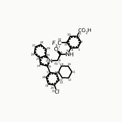 O=C(O)c1ccc(NC(=O)[C@H](C2CCCCC2)n2c(-c3ccc(Cl)cc3)cc3ccccc32)c(C(F)(F)F)c1